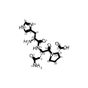 NC(=O)C[C@H](NC(=O)[C@@H](N)Cc1c[nH]cn1)C(=O)N1CCC[C@H]1C(=O)O